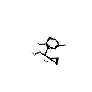 O=C[C@](NC(=O)O)(c1cc(Br)ccc1F)C1CC1